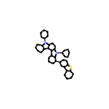 c1ccc(-n2c3ccccc3c3c4c5cccc(-c6ccc7sc8ccccc8c7c6)c5n(-c5ccccc5)c4ccc32)cc1